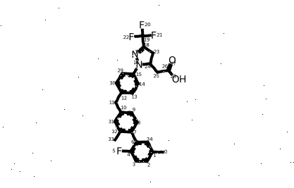 Cc1ccc(F)c(-c2ccc(Cc3ccc(N4N=C(C(F)(F)F)CC4CC(=O)O)cc3)cc2C)c1